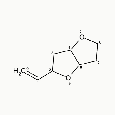 C=CC1CC2OCCC2O1